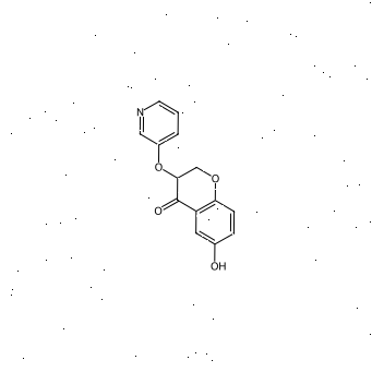 O=C1c2cc(O)ccc2OCC1Oc1cccnc1